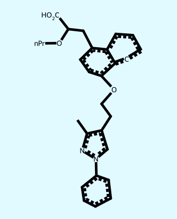 CCCOC(Cc1ccc(OCCc2cn(-c3ccccc3)nc2C)c2ccccc12)C(=O)O